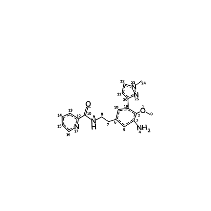 COc1c(N)cc(CCNC(=O)c2ccccn2)cc1-c1ccn(C)n1